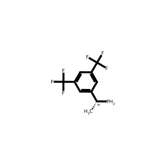 C[C@@H](P)c1cc(C(F)(F)F)cc(C(F)(F)F)c1